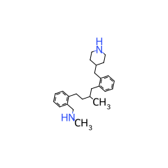 CNCc1ccccc1CCC(C)Cc1ccccc1CC1CCNCC1